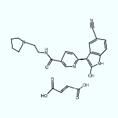 N#Cc1ccc2[nH]c(O)c(-c3ccc(C(=O)NCCN4CCCC4)cn3)c2c1.O=C(O)C=CC(=O)O